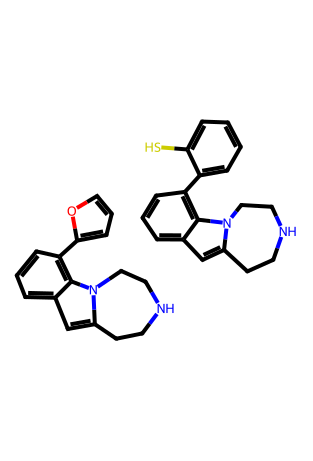 Sc1ccccc1-c1cccc2cc3n(c12)CCNCC3.c1coc(-c2cccc3cc4n(c23)CCNCC4)c1